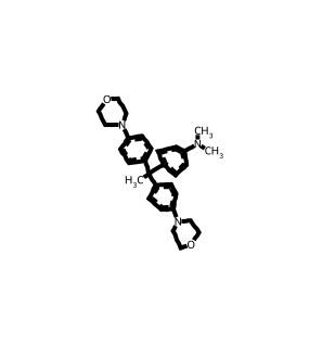 CN(C)c1ccc(C(C)(c2ccc(N3CCOCC3)cc2)c2ccc(N3CCOCC3)cc2)cc1